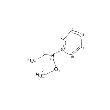 [CH2]CN(OC)c1ccccc1